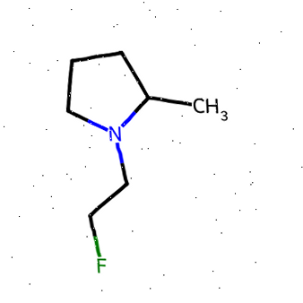 CC1CCCN1CCF